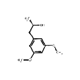 COc1cc(C[C@@H](C)O)cc(OC)c1